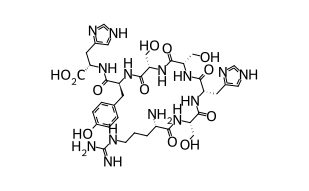 N=C(N)NCCC[C@H](N)C(=O)N[C@@H](CO)C(=O)N[C@@H](Cc1c[nH]cn1)C(=O)N[C@@H](CO)C(=O)N[C@@H](CO)C(=O)N[C@@H](Cc1ccc(O)cc1)C(=O)N[C@@H](Cc1c[nH]cn1)C(=O)O